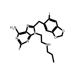 CCCNCCn1c(Cc2cc3c(cc2I)OCO3)nc2c(N)nc(F)nc21